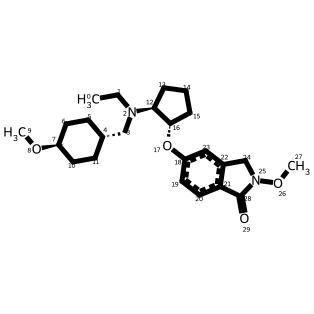 CCN(C[C@H]1CC[C@H](OC)CC1)[C@H]1CCC[C@@H]1Oc1ccc2c(c1)CN(OC)C2=O